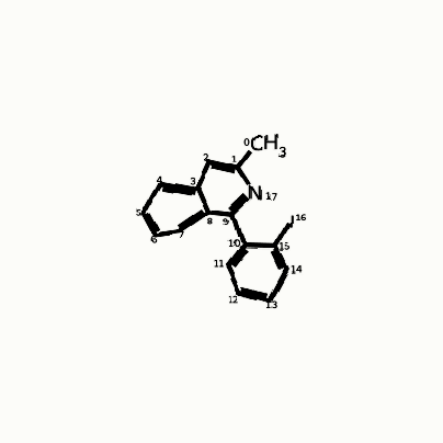 Cc1cc2ccccc2c(-c2ccccc2I)n1